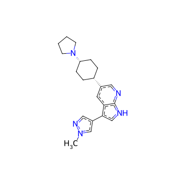 Cn1cc(-c2c[nH]c3ncc([C@H]4CC[C@@H](N5CCCC5)CC4)cc23)cn1